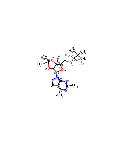 Cc1nc(C)c2ccn([C@@H]3O[C@H](CO[Si](C)(C)C(C)(C)C)[C@H]4OC(C)(C)OC34)c2n1